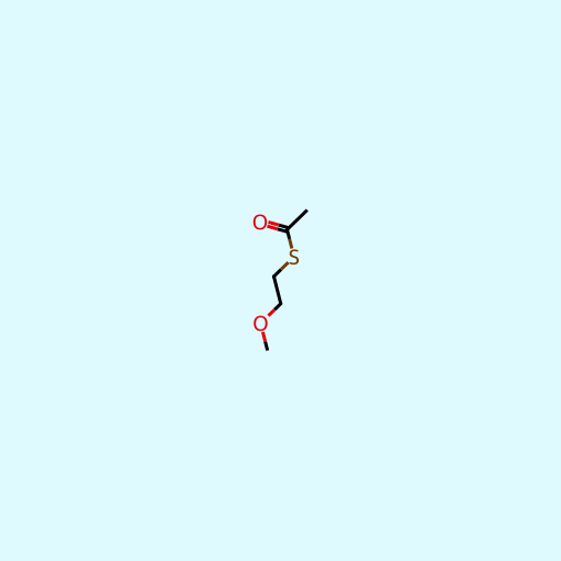 COCCSC(C)=O